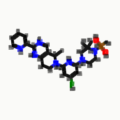 CC1c2cnc(-c3ccccn3)nc2CCN1c1cc(F)cc(N2CCN(S(C)(=O)=O)C(C)(C)C2)n1